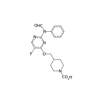 O=CN(c1ccccc1)c1ncc(F)c(OCC2CCN(C(=O)O)CC2)n1